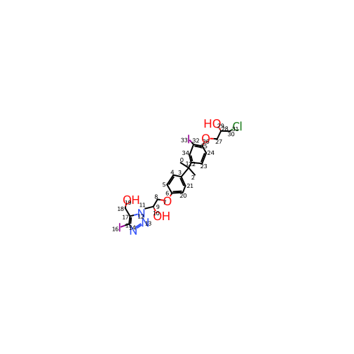 CC(C)(c1ccc(OC[C@@H](O)Cn2nnc(I)c2CO)cc1)c1ccc(OC[C@@H](O)CCl)c(I)c1